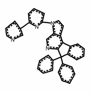 c1ccc(C2(c3ccccc3)c3ccccc3-c3c2ncc2c3ccn2-c2cccc(-c3cccnc3)n2)cc1